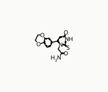 NC(=O)Cn1c(-c2ccc3c(c2)OCCO3)cc(=O)[nH]c1=S